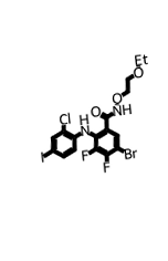 CCOCCONC(=O)c1cc(Br)c(F)c(F)c1Nc1ccc(I)cc1Cl